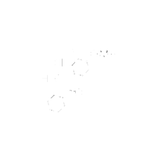 COc1ccc(C(C)C(=O)c2ccccc2)c(Cl)c1Cl